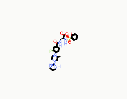 CC1CN(C2=NCCCN2)CCN1c1ccc(C(=O)NC[C@H](NS(=O)(=O)c2ccccc2)C(=O)O)cc1F